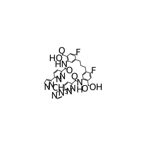 Cn1nccc1-c1ccc(C(=O)Nc2cc(CCCc3cc(NC(=O)c4ccc(-n5ccnc5)nn4)c(C(=O)O)cc3F)c(F)cc2C(=O)O)nn1